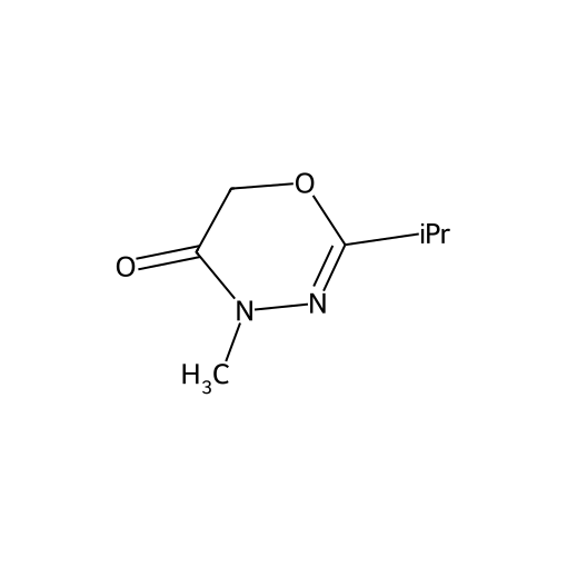 CC(C)C1=NN(C)C(=O)CO1